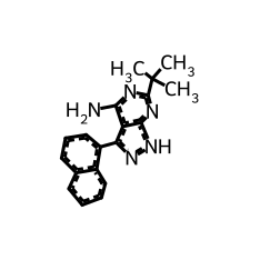 CC(C)(C)c1nc(N)c2c(-c3cccc4ccccc34)n[nH]c2n1